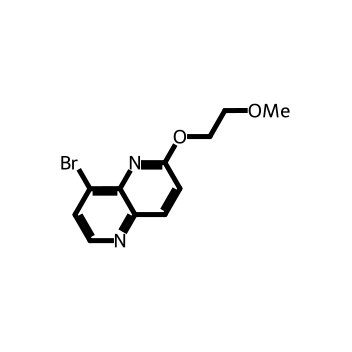 COCCOc1ccc2nccc(Br)c2n1